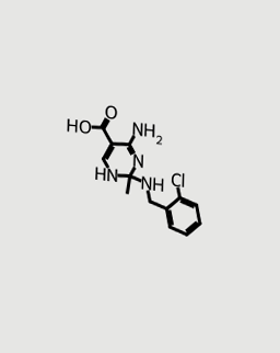 CC1(NCc2ccccc2Cl)N=C(N)C(C(=O)O)=CN1